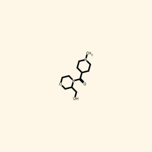 CN1CCC(C(=O)N2CCOCC2CO)CC1